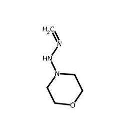 C=NNN1CCOCC1